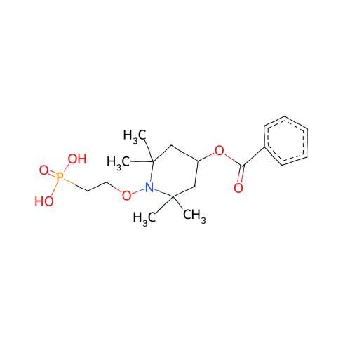 CC1(C)CC(OC(=O)c2ccccc2)CC(C)(C)N1OCCP(=O)(O)O